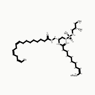 CC/C=C\C/C=C\C/C=C\CCCCCCCC(=O)OC[C@H](COP(=O)(O)OC[C@@H](O)CO)OC(=O)CCCCCCC/C=C\CCCCC